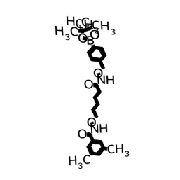 Cc1cc(C)cc(C(=O)NOCCCCCC(=O)NOCc2ccc(B3OC(C)(C)C(C)(C)O3)cc2)c1